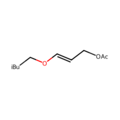 CCC(C)COC=CCOC(C)=O